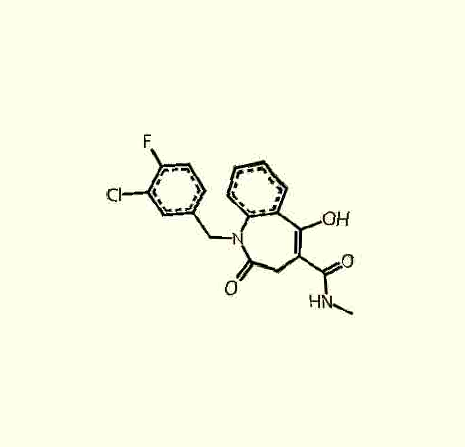 CNC(=O)C1=C(O)c2ccccc2N(Cc2ccc(F)c(Cl)c2)C(=O)C1